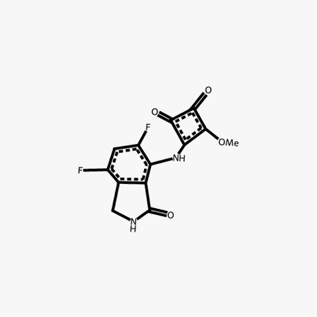 COc1c(Nc2c(F)cc(F)c3c2C(=O)NC3)c(=O)c1=O